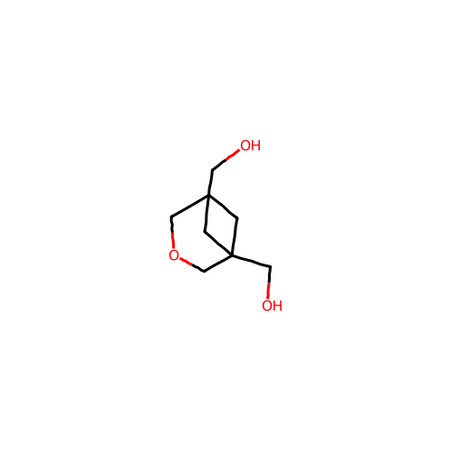 OCC12COCC(CO)(C1)C2